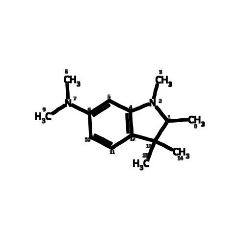 CC1N(C)c2cc(N(C)C)ccc2C1(C)C